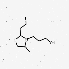 CCCC1OCC(C)N1CCCO